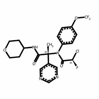 C[C@](C(=O)NC1CCOCC1)(c1cncnc1)N(C(=O)[C@H](F)Cl)c1ccc(OC(F)(F)F)cc1